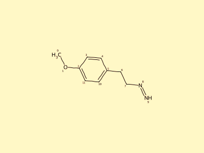 COc1ccc(CCN=N)cc1